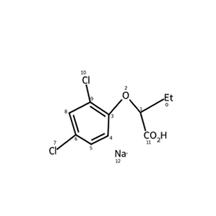 CCC(Oc1ccc(Cl)cc1Cl)C(=O)O.[Na]